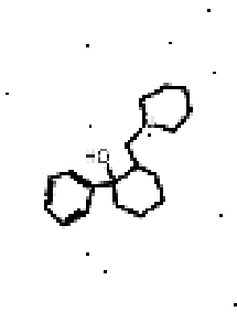 OC1(c2ccccc2)CCCCC1CN1CCCCC1